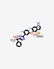 CNS(=O)(=O)c1c(Oc2ccc(F)c(-c3ncc(C(C)(O)c4ccccc4)[nH]3)c2)c(F)cc2[nH]ccc12